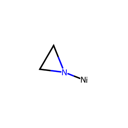 [Ni][N]1CC1